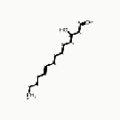 CCCCC=CCCCCCC(O)C[C]=O